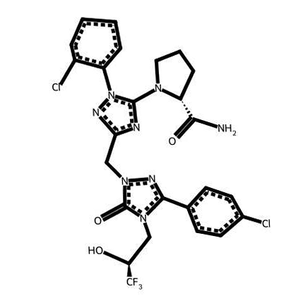 NC(=O)[C@H]1CCCN1c1nc(Cn2nc(-c3ccc(Cl)cc3)n(C[C@H](O)C(F)(F)F)c2=O)nn1-c1ccccc1Cl